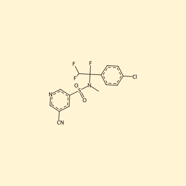 CN(C(F)(c1ccc(Cl)cc1)C(F)F)S(=O)(=O)c1cncc(C#N)c1